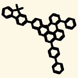 CC1(C)c2ccccc2-c2ccc(-c3ccc(N(c4ccc(-c5ccc(-c6ccccc6)cc5)cc4)c4cccc(-c5ccccc5)c4-c4ccccc4-c4ccccc4)cc3)cc21